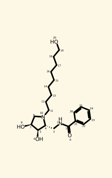 O=C(NC[C@@H]1[C@@H](O)[C@@H](O)CN1CCCCCCCCCO)c1ccccc1